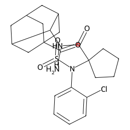 NC(=O)C12CC3CC(C1)C(NC(=O)C1(N(c4ccccc4Cl)[SH](=O)=O)CCCC1)C(C3)C2